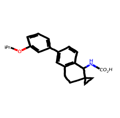 CC(C)Oc1cccc(-c2ccc3c(c2)CCC2(CC2)C3NC(=O)O)c1